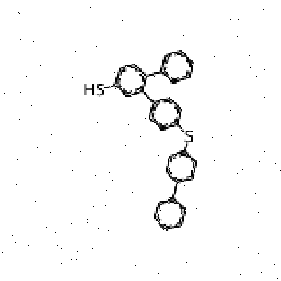 Sc1ccc(-c2ccccc2)c(-c2ccc(Sc3ccc(-c4ccccc4)cc3)cc2)c1